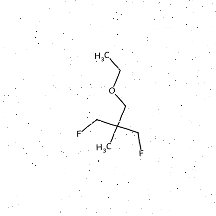 CCOCC(C)(CF)CF